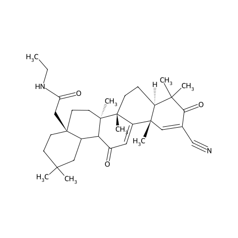 CCNC(=O)C[C@]12CCC(C)(C)CC1C1C(=O)C=C3[C@@]4(C)C=C(C#N)C(=O)C(C)(C)[C@@H]4CC[C@@]3(C)[C@]1(C)CC2